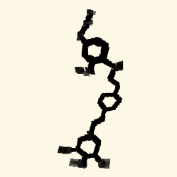 [N-]=[N+]=Nc1ccc(NCCC2CCC(CCN3CC(O)C(O)C(O)C3)CC2)c([N+](=O)[O-])c1